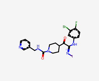 O=C(/C(=N/I)Nc1ccc(F)c(Br)c1)C1CCN(C(=O)NCc2cccnc2)CC1